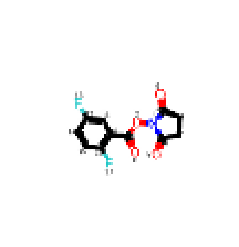 O=C(ON1C(=O)CCC1=O)c1cc(F)ccc1F